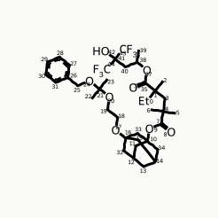 CCC(C)(CC(C)(C)C(=O)OC12CC3CC(CC(OCCOC(C)(C)OCc4ccccc4)(C3)C1)C2)C(=O)OC(C)CC(O)(C(F)(F)F)C(F)(F)F